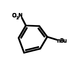 C[CH]CCc1cccc([N+](=O)[O-])c1